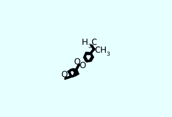 CCC(C)c1ccc(OC(=O)C2CC3CC2C2OCC32)cc1